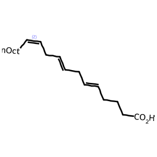 CCCCCCCC/C=C\CC=CCC=CCCCC(=O)O